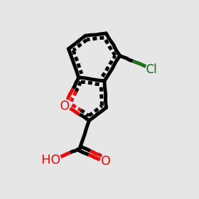 O=C(O)c1cc2c(Cl)cccc2o1